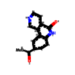 COC(=O)c1ccc2[nH]c(=O)c3ccncc3c2c1